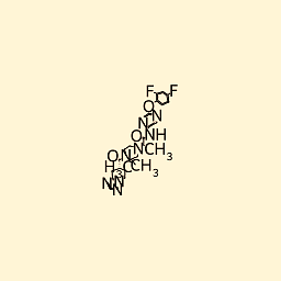 C[C@@H](C(=O)Nc1cnc(Oc2ccc(F)cc2F)cn1)N1CCN(C(=O)[C@@H]2CCn3ncnc3C2)C(C)(C)C1